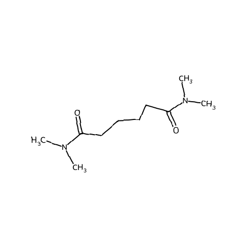 CN(C)C(=O)CCCCC(=O)N(C)C